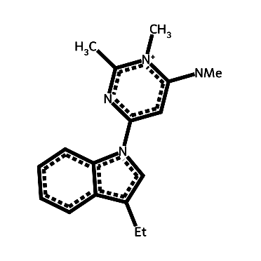 CCc1cn(-c2cc(NC)[n+](C)c(C)n2)c2ccccc12